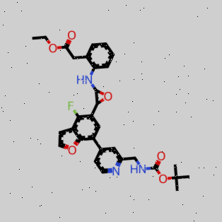 CCOC(=O)Cc1ccccc1NC1OC1c1cc(-c2ccnc(CNC(=O)OC(C)(C)C)c2)c2occc2c1F